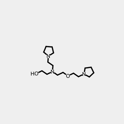 OCCN(CCOCCN1CCCC1)CCN1CCCC1